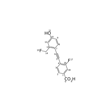 O=C(O)c1ccc(C#Cc2ccc(O)cc2CF)c(F)c1